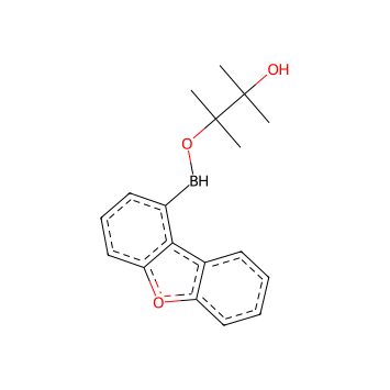 CC(C)(O)C(C)(C)OBc1cccc2oc3ccccc3c12